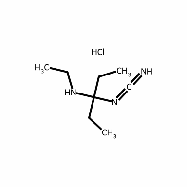 CCNC(CC)(CC)N=C=N.Cl